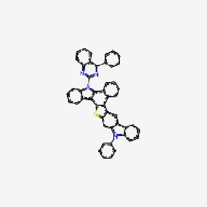 c1ccc(-c2nc(-n3c4ccccc4c4c5sc6cc7c(cc6c5c5ccccc5c43)c3ccccc3n7-c3ccccc3)nc3ccccc23)cc1